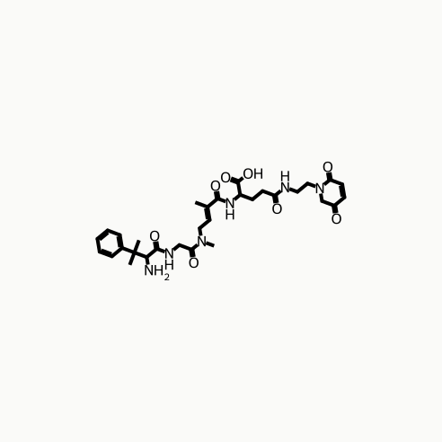 C/C(=C\CN(C)C(=O)CNC(=O)C(N)C(C)(C)c1ccccc1)C(=O)NC(CCC(=O)NCCN1CC(=O)C=CC1=O)C(=O)O